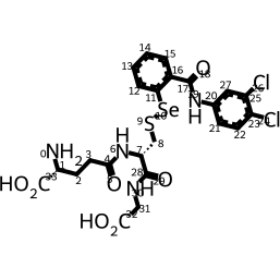 N[C@H](CCC(=O)N[C@H](CS[Se]c1ccccc1C(=O)Nc1ccc(Cl)c(Cl)c1)C(=O)NCC(=O)O)C(=O)O